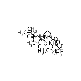 CC(C)C(NC(=O)[C@@H]1CCCN1C(=O)[C@@H](NC(=O)OC(C)(C)C)C(C)C)C(=O)C(F)(F)F